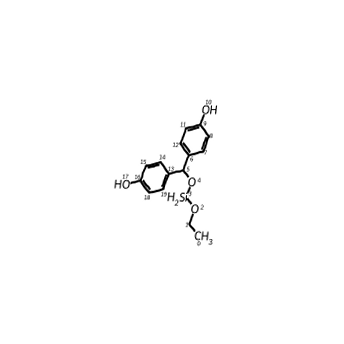 CCO[SiH2]OC(c1ccc(O)cc1)c1ccc(O)cc1